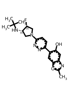 Cc1nc2cc(O)c(-c3ccc(N4C[C@H](NC(C)(C)C)[C@@H](F)C4)nn3)cc2o1